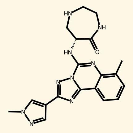 Cc1cccc2c1nc(N[C@@H]1CNCCNC1=O)n1nc(-c3cnn(C)c3)nc21